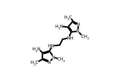 Cc1nn(C)c(NCCNc2c(N)c(C)nn2C)c1N